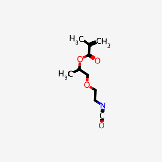 C=C(C)C(=O)OC(C)COCCN=C=O